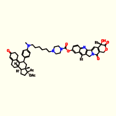 CCc1c2c(nc3ccc(OC(=O)N4CCN(CCCCCCN(C)c5ccc(C6C[C@@]7(C)[C@@H](CC[C@]7(OC(C)=O)C(C)=O)[C@@H]7CCC8=CC(=O)CCC8=C67)cc5)CC4)cc13)-c1cc3c(c(=O)n1C2)COC(=O)[C@]3(O)CC